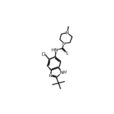 CN1CCN(C(=S)Nc2cc3[nH]c(C(C)(C)C)nc3cc2Cl)CC1